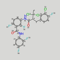 CC(Cl)(Cl)C(Cc1ccc(F)c(Cl)c1)C(=O)Nc1ccc(F)c(C(=O)Nc2ccc(F)cc2F)c1F